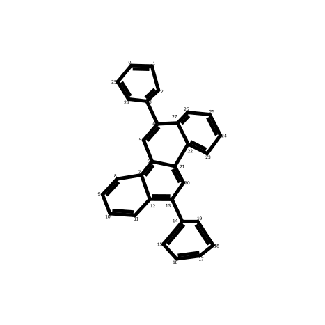 c1ccc(-c2cc3c4ccccc4c(-c4ccccc4)cc3c3ccccc23)cc1